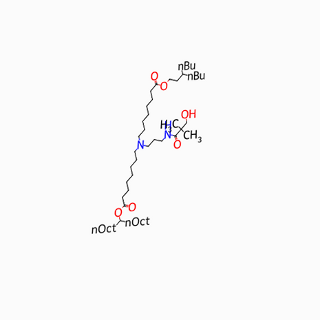 CCCCCCCCC(CCCCCCCC)OC(=O)CCCCCCCN(CCCCCCCC(=O)OCCC(CCCC)CCCC)CCCNC(=O)C(C)(C)CO